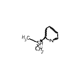 C[SH](C)#Cc1ccccn1